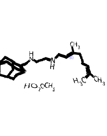 CC(=O)O.CC(C)=CCC/C(C)=C/CNCCNC1C2CC3CC(C2)CC1C3